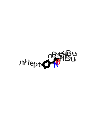 CCCCCCCc1ccc(-c2c[c]([Sn]([CH2]CCC)([CH2]CCC)[CH2]CCC)on2)cc1